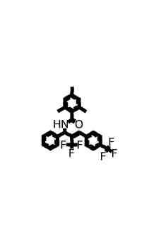 Cc1cc(C)c(C(=O)NC(C(=Cc2ccc(C(F)(F)F)cc2)C(F)(F)F)c2ccccc2)c(C)c1